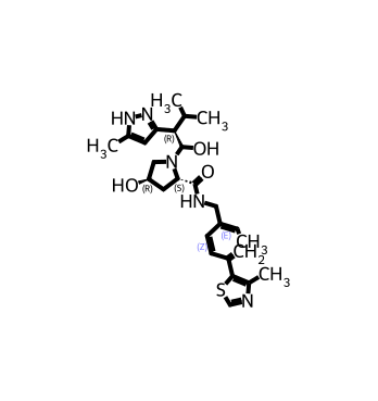 C=C(/C=C\C(=C/C)CNC(=O)[C@@H]1C[C@@H](O)CN1C(O)[C@@H](c1cc(C)[nH]n1)C(C)C)c1scnc1C